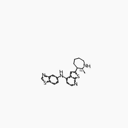 C[C@@H]1NCCCCC1c1cc2c(Nc3ccc4scnc4c3)ccnc2s1